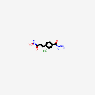 Cl.NNC(=O)c1ccc(/C=C/C(=O)NO)cc1